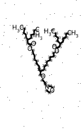 CCCCCC(CCCCC)CC(=O)OCCCCCCCCC(CCCCCCCCOC(=O)CC(CCCCC)CCCCC)COCCCN1CCOCC1